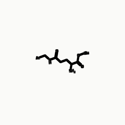 CC(=O)CNC(=O)CCC(N)C(=O)OC(C)(C)C